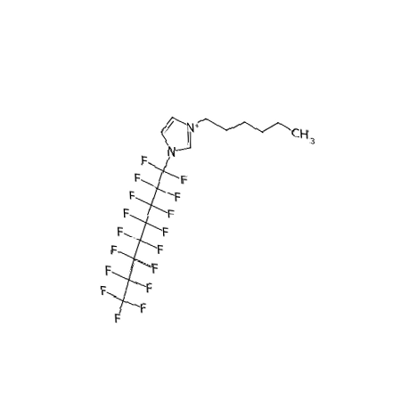 CCCCCC[n+]1ccn(C(F)(F)C(F)(F)C(F)(F)C(F)(F)C(F)(F)C(F)(F)C(F)(F)C(F)(F)F)c1